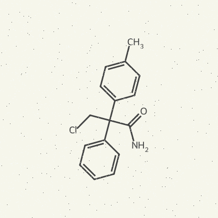 Cc1ccc(C(CCl)(C(N)=O)c2ccccc2)cc1